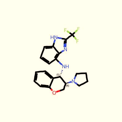 FC(F)(F)c1nc2c(N[C@H]3c4ccccc4OC[C@@H]3N3CCCC3)cccc2[nH]1